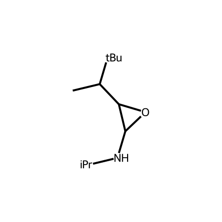 CC(C)NC1OC1C(C)C(C)(C)C